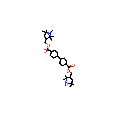 CN1C(C)(C)CC(COC(=O)C2CCC(C3CCC(C(=O)OCC4CC(C)(C)N(C)C4(C)C)CC3)CC2)C1(C)C